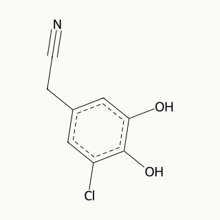 N#CCc1cc(O)c(O)c(Cl)c1